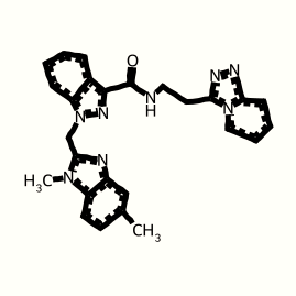 Cc1ccc2c(c1)nc(Cn1nc(C(=O)NCCc3nnc4ccccn34)c3ccccc31)n2C